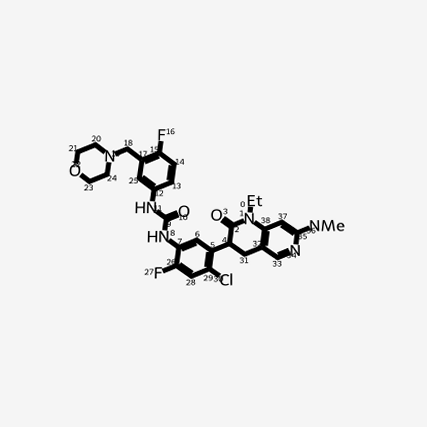 CCN1C(=O)C(c2cc(NC(=O)Nc3ccc(F)c(CN4CCOCC4)c3)c(F)cc2Cl)Cc2cnc(NC)cc21